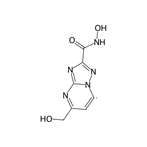 O=C(NO)c1nc2nc(CO)c[c]n2n1